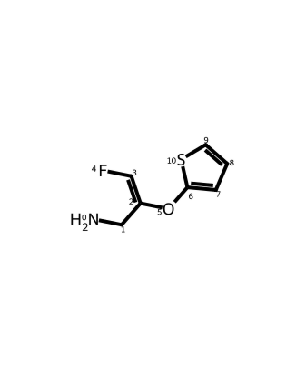 NCC(=CF)Oc1cccs1